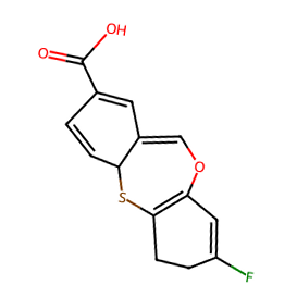 O=C(O)C1=CC2=COC3=C(CCC(F)=C3)SC2C=C1